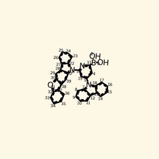 OB(O)c1cc(-n2c3ccccc3c3ccccc32)cc(-n2c3ccccc3c3cc4oc5ccccc5c4cc32)n1